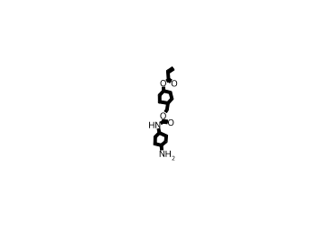 C=CC(=O)OC1CCC(COC(=O)NC2CCC(N)CC2)CC1